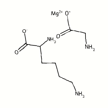 NCC(=O)[O-].NCCCCC(N)C(=O)[O-].[Mg+2]